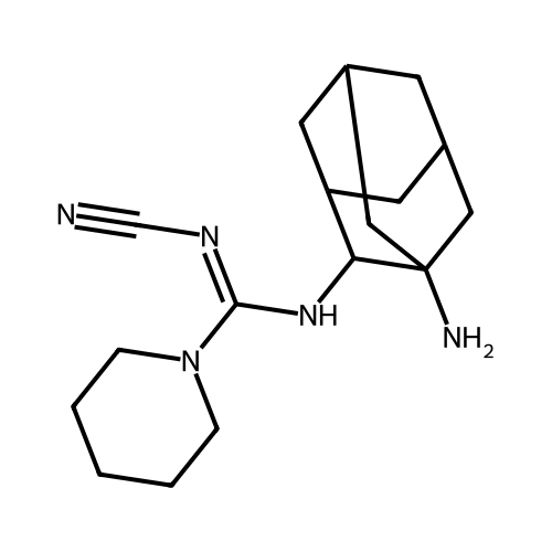 N#CN=C(NC1C2CC3CC(C2)CC1(N)C3)N1CCCCC1